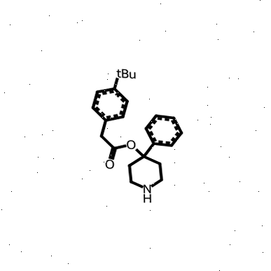 CC(C)(C)c1ccc(CC(=O)OC2(c3ccccc3)CCNCC2)cc1